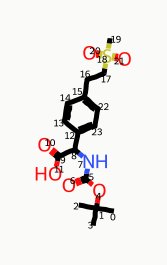 CC(C)(C)OC(=O)NC(C(=O)O)c1ccc(CCS(C)(=O)=O)cc1